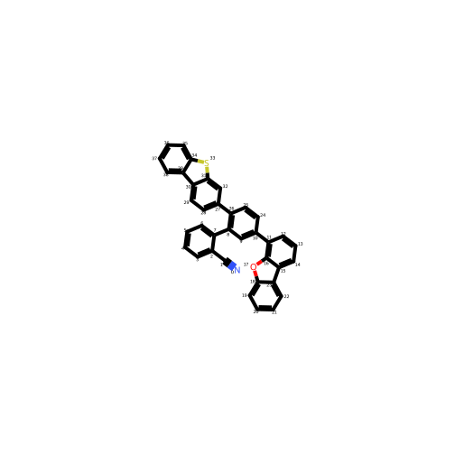 N#Cc1ccccc1-c1cc(-c2cccc3c2oc2ccccc23)ccc1-c1ccc2c(c1)sc1ccccc12